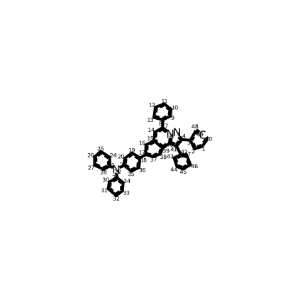 c1ccc(-c2nn3c(-c4ccccc4)cc4cc(-c5ccc(N(c6ccccc6)c6ccccc6)cc5)ccc4c3c2-c2ccccc2)cc1